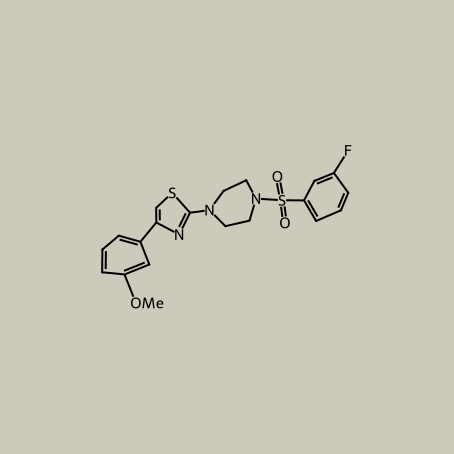 COc1cccc(-c2csc(N3CCN(S(=O)(=O)c4cccc(F)c4)CC3)n2)c1